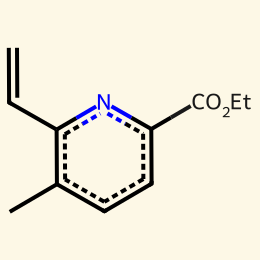 C=Cc1nc(C(=O)OCC)ccc1C